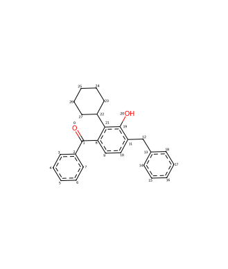 O=C(c1ccccc1)c1ccc(Cc2ccccc2)c(O)c1C1CCCCC1